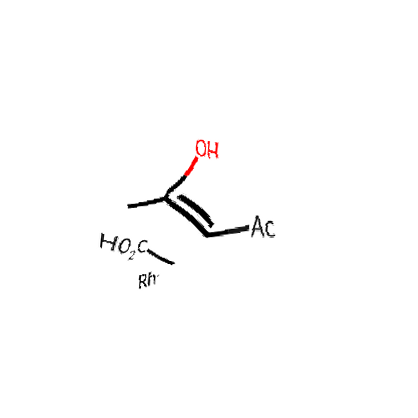 CC(=O)/C=C(/C)O.CC(=O)O.[Rh]